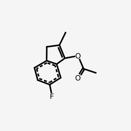 CC(=O)OC1=C(C)Cc2ccc(F)cc21